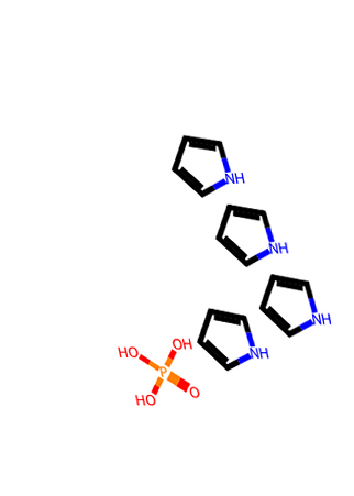 O=P(O)(O)O.c1cc[nH]c1.c1cc[nH]c1.c1cc[nH]c1.c1cc[nH]c1